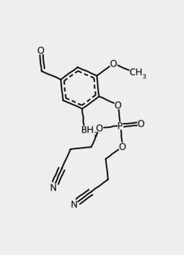 Bc1cc(C=O)cc(OC)c1OP(=O)(OCCC#N)OCCC#N